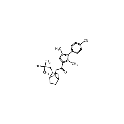 Cc1cc(C(=O)CN2C3CCC2[C@@H](CC(C)(C)O)C3)c(C)n1-c1ccc(C#N)cc1